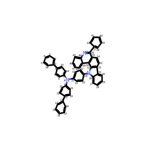 c1ccc(-c2ccc(N(c3ccc(-c4ccccc4)cc3)c3ccc(-n4c5ccccc5c5ccc6c(-c7ccccc7)nc7ccccc7c6c54)cc3)cc2)cc1